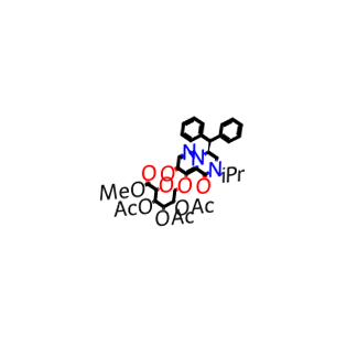 COC(=O)C1OC(Oc2c3n(ncc2=O)[C@@H](C(c2ccccc2)c2ccccc2)CN(C(C)C)C3=O)C(OC(C)=O)C(OC(C)=O)C1OC(C)=O